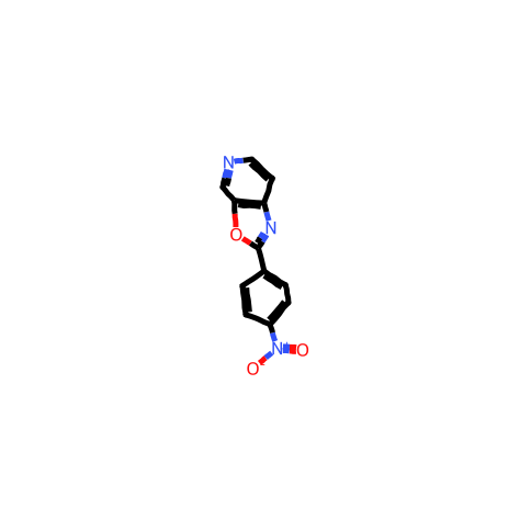 O=[N+]([O-])c1ccc(-c2nc3ccncc3o2)cc1